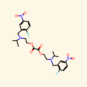 CC(C)N(CCOC(=O)C(=O)OCCN(Cc1cc([N+](=O)[O-])ccc1F)C(C)C)Cc1cc([N+](=O)[O-])ccc1F